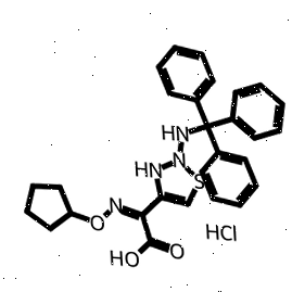 Cl.O=C(O)/C(=N\OC1CCCC1)C1=CSN(NC(c2ccccc2)(c2ccccc2)c2ccccc2)N1